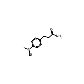 CCN(CC)c1ccc(CCC(N)=O)cc1